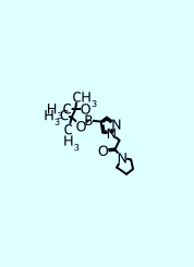 CC1(C)OB(c2cnn(CC(=O)N3CCCC3)c2)OC1(C)C